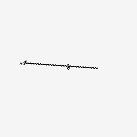 CCCCCCCCC=CCCCCCCCCCCCCCC(=O)OCCCCCCCCCCCCCCCCCCCCCCCCCCCCCCCCCC(=O)O